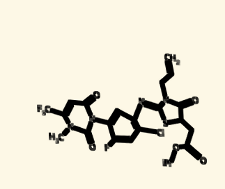 C=CCN1C(=O)C(CC(=O)OC(C)C)SC1=Nc1cc(-n2c(=O)cc(C(F)(F)F)n(C)c2=O)c(F)cc1Cl